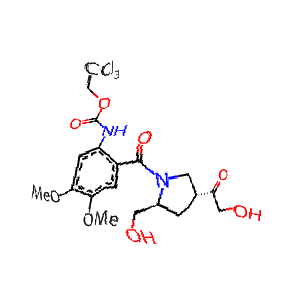 COc1cc(NC(=O)OCC(Cl)(Cl)Cl)c(C(=O)N2C[C@H](C(=O)CO)C[C@H]2CO)cc1OC